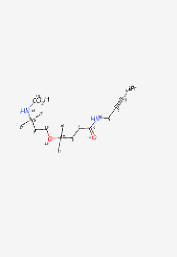 CC(C)C#CCNC(=O)CCC(C)(C)OCCC(C)(C)NC(=O)O